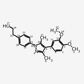 COc1ccc(-c2c(C)nn(-c3ccc(CCO)cc3)c2C)cc1OC